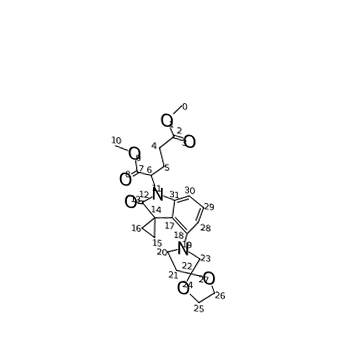 COC(=O)CCC(C(=O)OC)N1C(=O)C2(CC2)c2c(N3CCC4(C3)OCCO4)cccc21